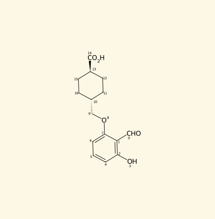 O=Cc1c(O)cccc1OC[C@H]1CC[C@H](C(=O)O)CC1